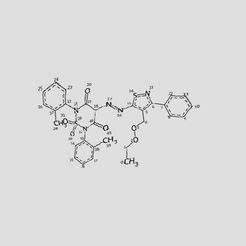 CCOOCc1c(-c2ccccc2)nsc1N=NC1C(=O)N(c2ccccc2C)S(=O)(=O)N(c2ccccc2C)C1=O